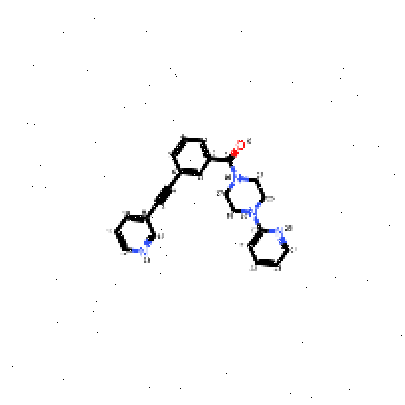 O=C(c1cccc(C#Cc2cccnc2)c1)N1CCN(c2ccccn2)CC1